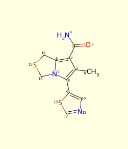 Cc1c(C(N)=O)c2n(c1-c1cncs1)CSC2